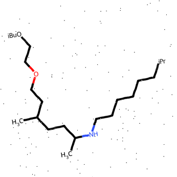 CC(C)CCCCCCNC(C)CCC(C)CCOCCOCC(C)C